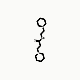 O=C(CCN1CCCCC1)NCCN1CCCCC1